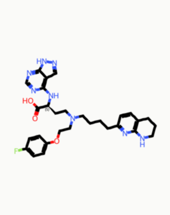 O=C(O)[C@H](CCN(CCCCc1ccc2c(n1)NCCC2)CCOc1ccc(F)cc1)Nc1ncnc2[nH]ncc12